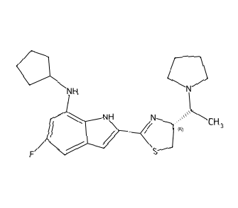 CC([C@@H]1CSC(c2cc3cc(F)cc(NC4CCCC4)c3[nH]2)=N1)N1CCCC1